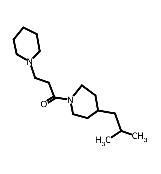 CC(C)CC1CCN(C(=O)CCN2CCCCC2)CC1